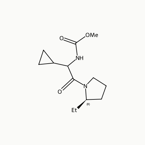 CC[C@@H]1CCCN1C(=O)C(NC(=O)OC)C1CC1